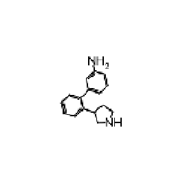 Nc1cccc(-c2ccccc2C2CCNC2)c1